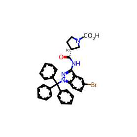 O=C(Nc1nn(C(c2ccccc2)(c2ccccc2)c2ccccc2)c2ccc(Br)cc12)[C@@H]1CCN(C(=O)O)C1